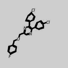 Fc1ccc(COCc2cnc(-c3ccc(Cl)cc3)c(-c3ccc(Cl)cc3)n2)cc1